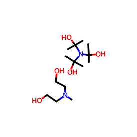 CC(C)(O)N(C(C)(C)O)C(C)(C)O.CN(CCO)CCO